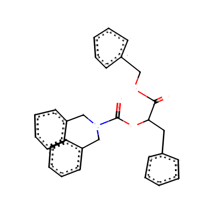 O=C(OCc1ccccc1)C(Cc1ccccc1)OC(=O)N(Cc1ccccc1)Cc1ccccc1